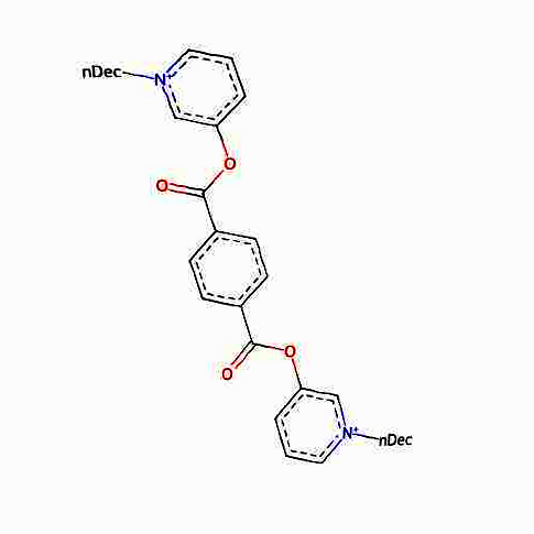 CCCCCCCCCC[n+]1cccc(OC(=O)c2ccc(C(=O)Oc3ccc[n+](CCCCCCCCCC)c3)cc2)c1